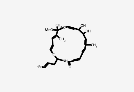 CCC/C=C/CC1C/C=C/C=C(\C)C(C)(OC)C/C=C\C(O)C(O)\C=C(C)/C=C/C=C/C(=O)N1